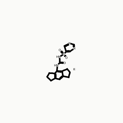 O=C(Nc1c2c(cc3c1CCC3)CCC2)NS(=O)(=O)c1cncnc1.[K]